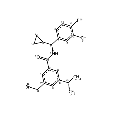 Cc1cc([C@@H](NC(=O)c2cc(CBr)cc([C@H](C)C(F)(F)F)c2)C2CC2)ccc1F